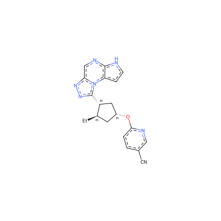 CC[C@@H]1C[C@@H](Oc2ccc(C#N)cn2)C[C@H]1c1nnc2cnc3[nH]ccc3n12